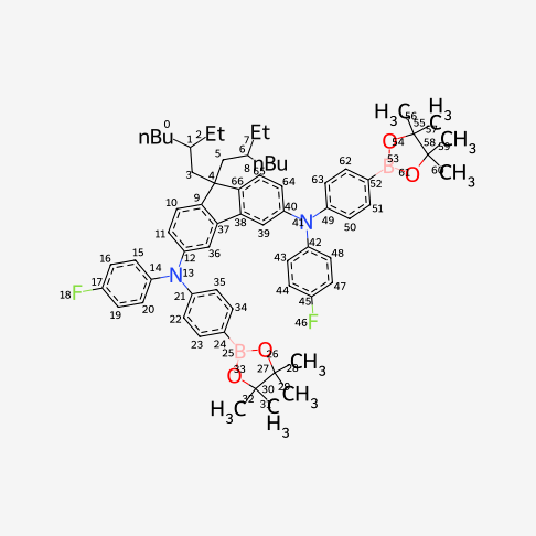 CCCCC(CC)CC1(CC(CC)CCCC)c2ccc(N(c3ccc(F)cc3)c3ccc(B4OC(C)(C)C(C)(C)O4)cc3)cc2-c2cc(N(c3ccc(F)cc3)c3ccc(B4OC(C)(C)C(C)(C)O4)cc3)ccc21